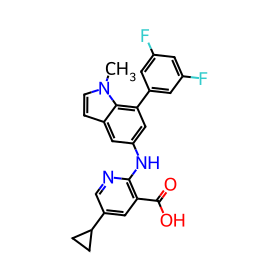 Cn1ccc2cc(Nc3ncc(C4CC4)cc3C(=O)O)cc(-c3cc(F)cc(F)c3)c21